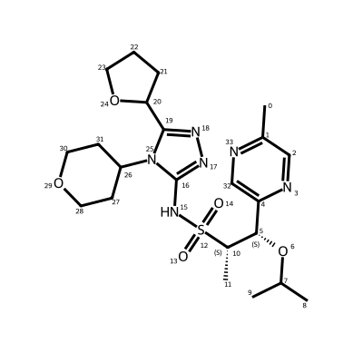 Cc1cnc([C@H](OC(C)C)[C@H](C)S(=O)(=O)Nc2nnc(C3CCCO3)n2C2CCOCC2)cn1